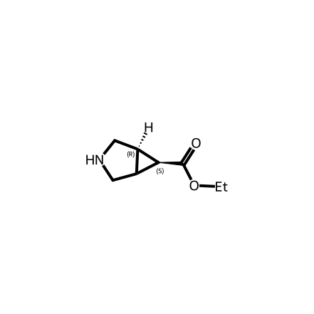 CCOC(=O)[C@H]1C2CNC[C@H]21